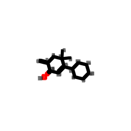 C=C1CC(C)(C)C(C2CCCCC2)=CC1=O